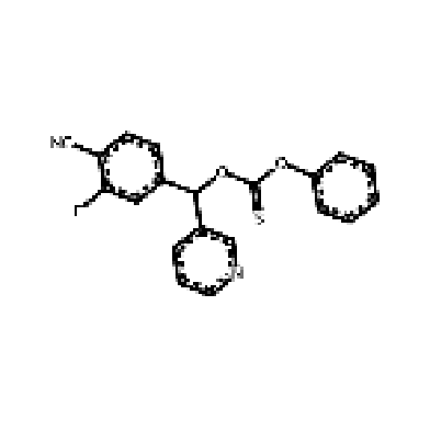 N#Cc1ccc(C(OC(=S)Oc2ccccc2)c2cccnc2)cc1F